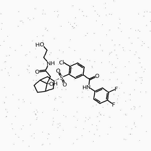 O=C(C[C@]1(O)C2CCC1C[C@@H](S(=O)(=O)c1cc(C(=O)Nc3ccc(F)c(F)c3)ccc1Cl)C2)NCCO